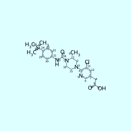 CC1CN(c2ncc(CC(=O)O)cc2Cl)CCN1C(=O)Nc1ccc([Si](C)(C)C)cc1